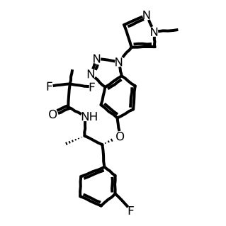 C[C@H](NC(=O)C(C)(F)F)[C@H](Oc1ccc2c(c1)nnn2-c1cnn(C)c1)c1cccc(F)c1